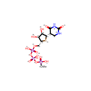 COP(=O)(O)OP(=O)(O)OP(=O)(O)OC[C@H]1S[C@@H](C2CNC(=O)NC2=O)[C@H](O)[C@@H]1O